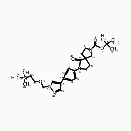 CC(C)(C)OC(=O)N1CCC2(CCN(c3ccc(-c4cnn(COCC[Si](C)(C)C)c4)cc3)C2=O)C1